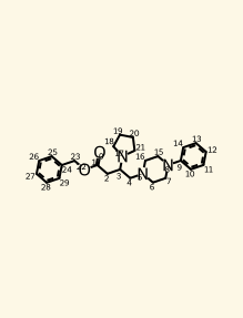 O=C(CC(CN1CCN(c2ccccc2)CC1)N1CCCC1)OCc1ccccc1